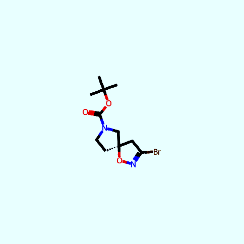 CC(C)(C)OC(=O)N1CC[C@@]2(CC(Br)=NO2)C1